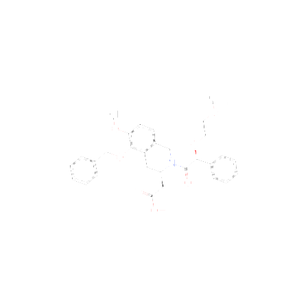 COCCO[C@H](C(=O)N1Cc2ccc(OC)c(OCc3ccccc3)c2C[C@@H]1CC(=O)O)c1ccccc1